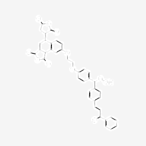 O=C1CC(C2CC3C(=O)OC(=O)C3c3cc(OCCOc4ccc(C(OO)c5ccc(/C=C/C(=O)c6ccccc6)cc5)cc4)ccc32)C(=O)O1